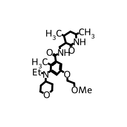 CCN(c1cc(OCCOC)cc(C(=O)NCC2C(=O)NC(C)CC2C)c1C)C1CCOCC1